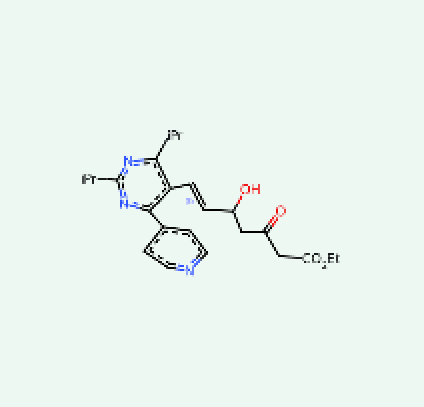 CCOC(=O)CC(=O)CC(O)/C=C/c1c(-c2ccncc2)nc(C(C)C)nc1C(C)C